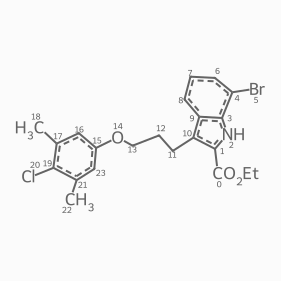 CCOC(=O)c1[nH]c2c(Br)cccc2c1CCCOc1cc(C)c(Cl)c(C)c1